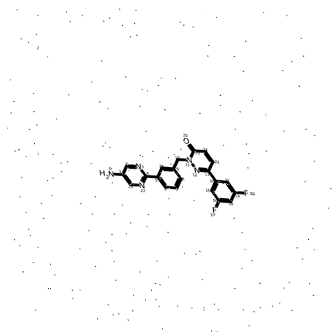 Nc1cnc(-c2cccc(Cn3nc(-c4cc(F)cc(F)c4)ccc3=O)c2)nc1